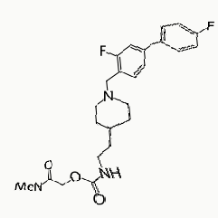 CNC(=O)COC(=O)NCCC1CCN(Cc2ccc(-c3ccc(F)cc3)cc2F)CC1